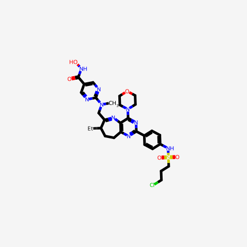 CCC1CCc2nc(-c3ccc(NS(=O)(=O)CCCCl)cc3)nc(N3CCOCC3)c2N=C1CN(C)c1ncc(C(=O)NO)cn1